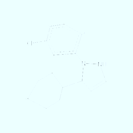 Clc1cccc(N2NC=CC2C2CCCCC2)c1